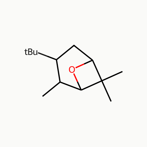 CC1C(C(C)(C)C)CC2OC1C2(C)C